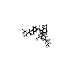 C[C@H]1CN(c2ccc3cc(Nc4nn(C5(CC#N)CCC(C(=O)OC(C)(C)C)OC5)c5cc[nH]c(=O)c45)ccc3n2)CCO1